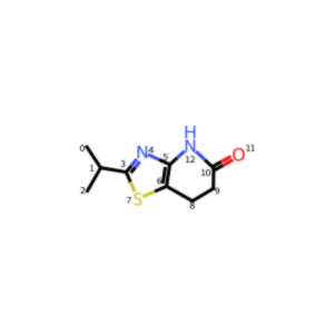 CC(C)c1nc2c(s1)CCC(=O)N2